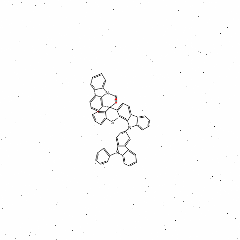 c1ccc(-n2c3ccccc3c3cc(-n4c5ccccc5c5ccc6c(c54)Sc4ccccc4C64c5ccccc5-n5c6ccccc6c6cccc4c65)ccc32)cc1